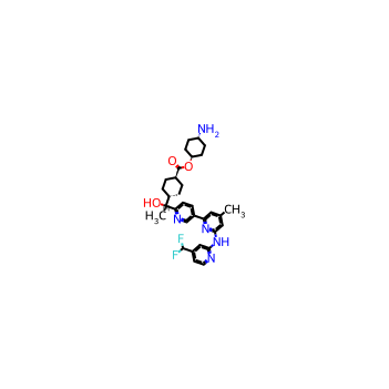 Cc1cc(Nc2cc(C(F)F)ccn2)nc(-c2ccc([C@](C)(O)[C@H]3CC[C@H](C(=O)O[C@H]4CC[C@@H](N)CC4)CC3)nc2)c1